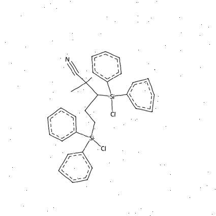 CC(C)(C#N)C(CC[Si](Cl)(c1ccccc1)c1ccccc1)[Si](Cl)(c1ccccc1)c1ccccc1